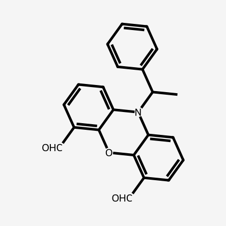 CC(c1ccccc1)N1c2cccc(C=O)c2Oc2c(C=O)cccc21